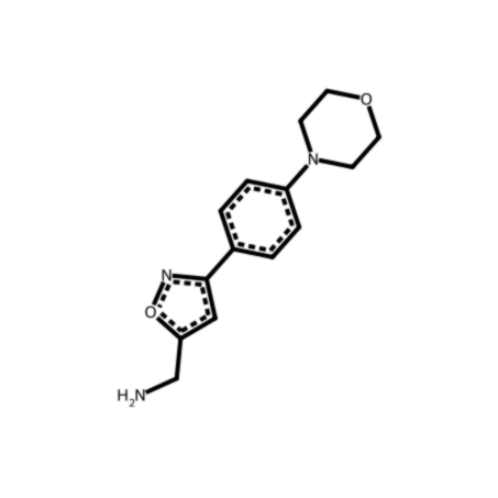 NCc1cc(-c2ccc(N3CCOCC3)cc2)no1